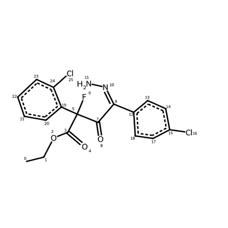 CCOC(=O)C(F)(C(=O)C(=NN)c1ccc(Cl)cc1)c1ccccc1Cl